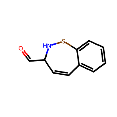 O=CC1C=Cc2ccccc2SN1